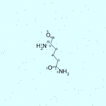 NC(=O)CCC[C@H](N)[C]=O